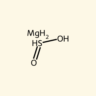 O=[SH]O.[MgH2]